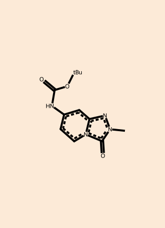 Cn1nc2cc(NC(=O)OC(C)(C)C)ccn2c1=O